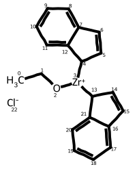 CC[O][Zr+]([CH]1C=Cc2ccccc21)[CH]1C=Cc2ccccc21.[Cl-]